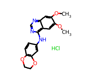 COc1cc2ncnc(Nc3ccc4c(c3)OCCO4)c2cc1OC.Cl